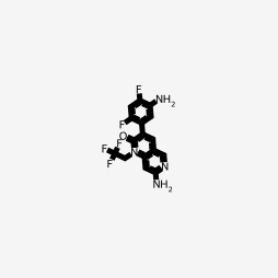 Nc1cc2c(cn1)cc(-c1cc(N)c(F)cc1F)c(=O)n2CC(F)(F)F